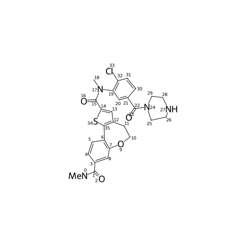 CNC(=O)c1ccc2c(c1)OCCc1cc(C(=O)N(C)c3cc(C(=O)N4CCNCC4)ccc3Cl)sc1-2